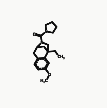 CCC12CC(Cc3ccc(OC)cc31)N(C(=O)N1CCCC1)C2